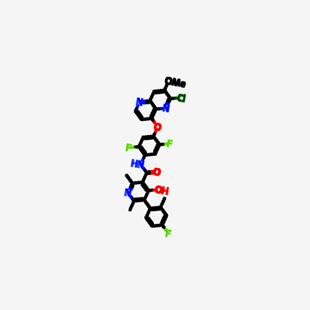 COc1cc2nccc(Oc3cc(F)c(NC(=O)c4c(C)nc(C)c(-c5ccc(F)cc5C)c4O)cc3F)c2nc1Cl